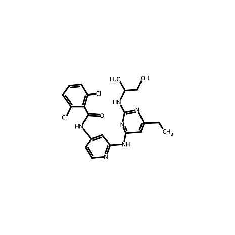 CCc1cc(Nc2cc(NC(=O)c3c(Cl)cccc3Cl)ccn2)nc(NC(C)CO)n1